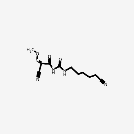 CON=C(C#N)C(=O)NC(=O)NCCCCCC#N